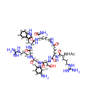 CC(=O)N[C@@H](CCCNC(=N)N)C(=O)N[C@H]1CCC(=O)NCCC[C@@H](C(N)=O)NC(=O)[C@H](Cc2c[nH]c3ccccc23)NC(=O)[C@H](CCCNC(=N)N)NC(=O)[C@@H](Cc2ccc(N)cc2)NC(=O)[C@H]([C@@H](C)O)NC1=O